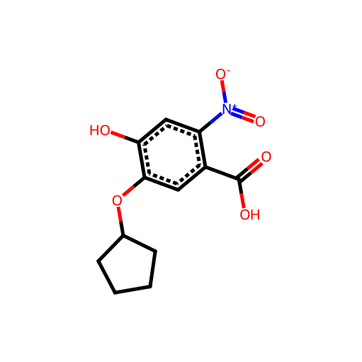 O=C(O)c1cc(OC2CCCC2)c(O)cc1[N+](=O)[O-]